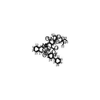 CCOC(=O)C(OC(=O)[C@H]1Cc2ccccc2CN1S(=O)(=O)c1ccc(-c2ccccc2)cc1)c1cc2n(c(=O)c1C#N)CCC21OCC(CC)(CC)CO1